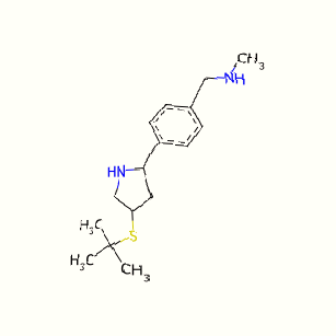 CNCc1ccc(C2CC(SC(C)(C)C)CN2)cc1